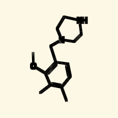 COc1c(CN2CCNCC2)ccc(C)c1C